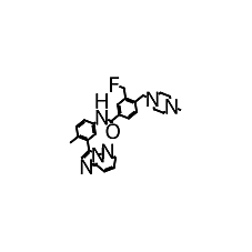 Cc1ccc(NC(=O)c2ccc(CN3CCN(C)CC3)c(CF)c2)cc1-c1cnc2cccnn12